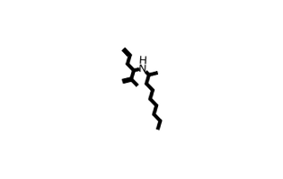 C=CCC(NC(C)CCCCCCC)C(=C)C